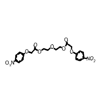 O=C(COc1ccc([N+](=O)[O-])cc1)OCCOCCOC(=O)COc1ccc([N+](=O)[O-])cc1